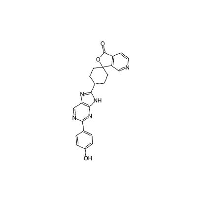 O=C1OC2(CCC(c3nc4cnc(-c5ccc(O)cc5)nc4[nH]3)CC2)c2cnccc21